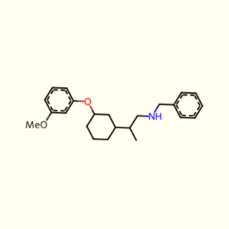 COc1cccc(OC2CCCC(C(C)CNCc3ccccc3)C2)c1